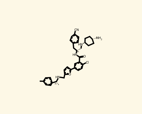 Cc1ccc([C@@H](C)NCc2ccc(-c3ccc(Cl)c(C(=O)N[C@@H](CN[C@H]4CC[C@@H](N)CC4)Cc4ccc(C#N)cc4)c3)o2)cc1